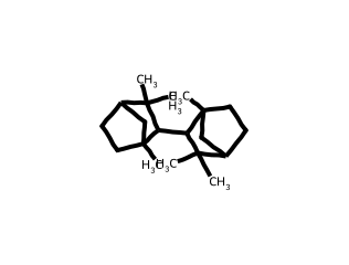 CC12CCC(C1)C(C)(C)[C]2C1C2(C)CCC(C2)C1(C)C